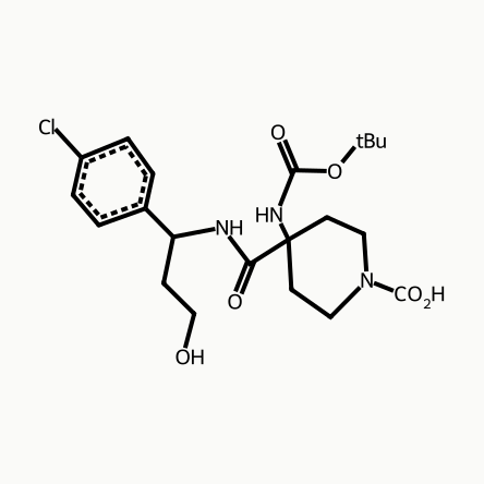 CC(C)(C)OC(=O)NC1(C(=O)NC(CCO)c2ccc(Cl)cc2)CCN(C(=O)O)CC1